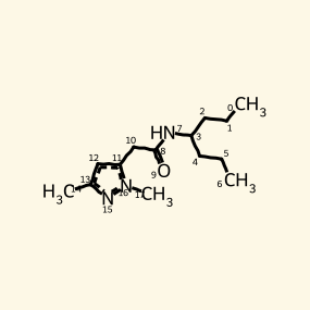 CCCC(CCC)NC(=O)Cc1cc(C)nn1C